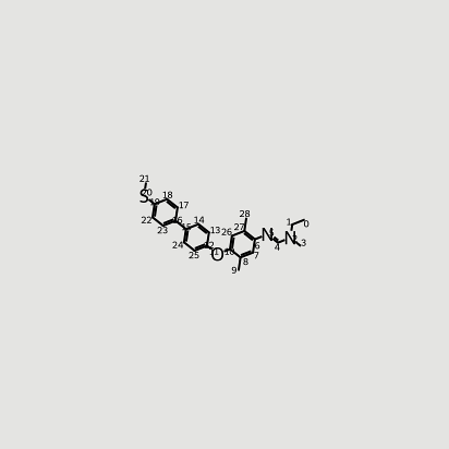 CCN(C)C=Nc1cc(C)c(Oc2ccc(-c3ccc(SC)cc3)cc2)cc1C